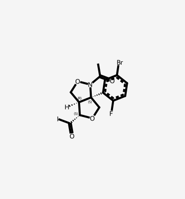 CC(=O)N1OC[C@@H]2[C@@H](C(=O)I)OC[C@@]21c1cc(Br)ccc1F